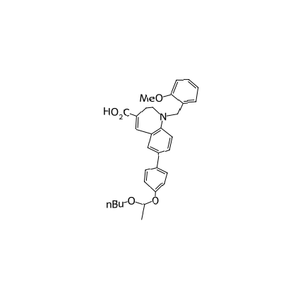 CCCCOC(C)Oc1ccc(-c2ccc3c(c2)C=C(C(=O)O)CCN3Cc2ccccc2OC)cc1